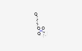 Oc1cccc(/C(=C(\CCCl)c2ccccc2)c2ccc(OCCOCCOCc3ccccc3)cc2)c1